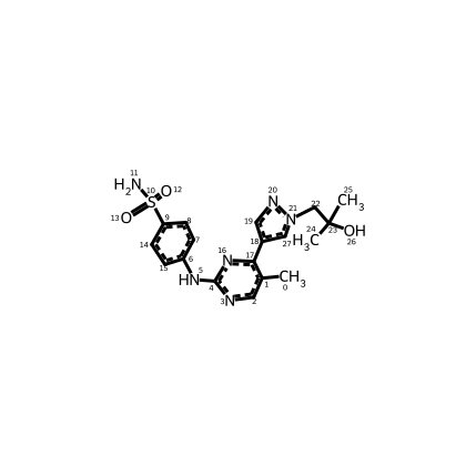 Cc1cnc(Nc2ccc(S(N)(=O)=O)cc2)nc1-c1cnn(CC(C)(C)O)c1